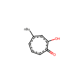 CCCCc1cccc(=O)c(O)c1